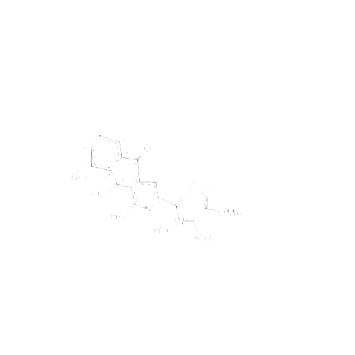 COC(=O)C(C)N(C)C(=O)c1cc(O)c2c(c1)C(=O)c1cccc(O)c1C2=O